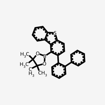 CC1(C)OB(c2c(-c3ccccc3-c3ccccc3)ccc3sc4ccccc4c23)OC1(C)C